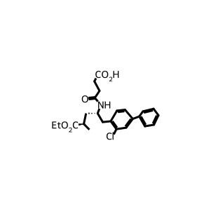 CCOC(=O)[C@H](C)C[C@@H](Cc1ccc(-c2ccccc2)cc1Cl)NC(=O)CCC(=O)O